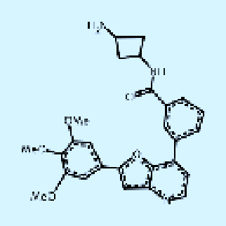 COc1cc(-c2cc3nccc(-c4cccc(C(=O)NC5CC(N)C5)c4)c3o2)cc(OC)c1OC